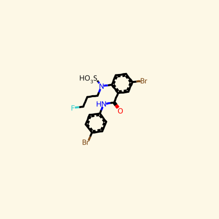 O=C(Nc1ccc(Br)cc1)c1cc(Br)ccc1N(CCCF)S(=O)(=O)O